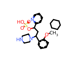 C1CCCCC1.COc1ccccc1C(CC(OS(=O)(=O)O)c1ccccn1)N1CCNCC1